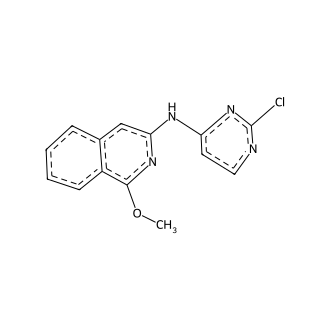 COc1nc(Nc2ccnc(Cl)n2)cc2ccccc12